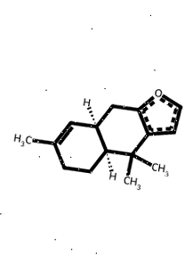 CC1=C[C@H]2Cc3occc3C(C)(C)[C@H]2CC1